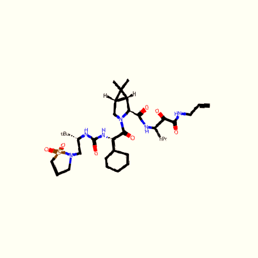 C=CCNC(=O)C(=O)C(CCC)NC(=O)[C@@H]1[C@@H]2[C@H](CN1C(=O)[C@@H](NC(=O)N[C@H](CN1CCCS1(=O)=O)C(C)(C)C)C1CCCCC1)C2(C)C